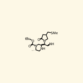 CSCC1CC(=O)N(/C(C=N)=C2\CN(C(=O)OC(C)(C)C)[C@@H](C)CN2)C1